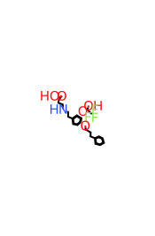 O=C(O)C(F)(F)F.O=C(O)CCNCCc1ccc(OCCCc2ccccc2)cc1